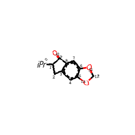 CC(C)C1Cc2cc3c(cc2C1=O)OCO3